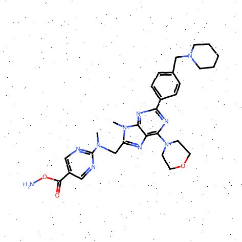 CN(Cc1nc2c(N3CCOCC3)nc(-c3ccc(CN4CCCCC4)cc3)nc2n1C)c1ncc(C(=O)ON)cn1